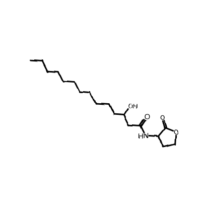 CCCCCCCCCCCC(O)CC(=O)NC1CCOC1=O